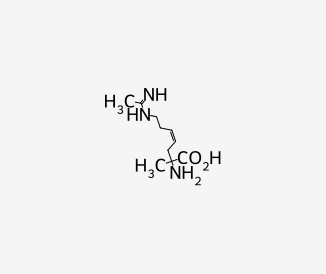 CC(=N)NCC/C=C\CC(C)(N)C(=O)O